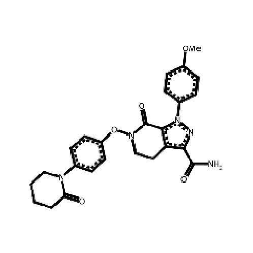 COc1ccc(-n2nc(C(N)=O)c3c2C(=O)N(Oc2ccc(N4CCCCC4=O)cc2)CC3)cc1